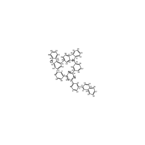 c1ccc(-c2nc(-c3cccc(-c4ccc5ccccc5c4)c3)nc(-c3cccc(-n4c5ccccc5c5ccc(-c6cccc7oc8ccccc8c67)cc54)c3)n2)cc1